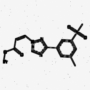 Cc1cc(-c2ncn(/C=C\C(=O)OC(C)C)n2)cc(S(C)(=O)=O)c1